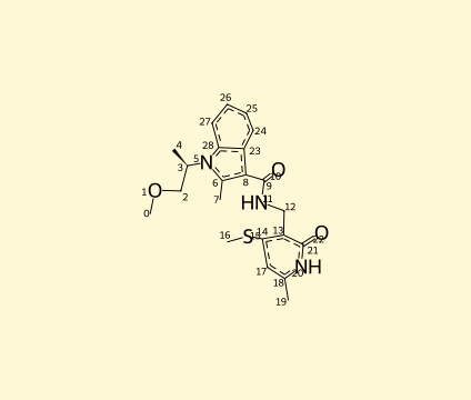 COC[C@@H](C)n1c(C)c(C(=O)NCc2c(SC)cc(C)[nH]c2=O)c2ccccc21